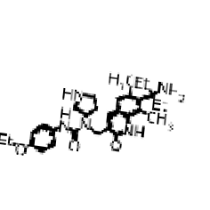 CCOc1ccc(NC(=O)N(Cc2cc3cc(C)c(C(N)(CC)CC)c(C)c3[nH]c2=O)C2CCNC2)cc1